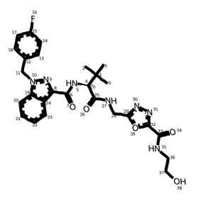 CC(C)(C)[C@H](NC(=O)c1nn(Cc2ccc(F)cc2)c2ccccc12)C(=O)NCc1nnc(C(=O)NCCO)o1